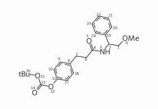 COCC(NC(=O)CCc1ccc(OC(=O)OC(C)(C)C)cc1)c1ccccc1